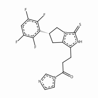 O=C(CCc1[nH]c(=S)n2c1C[C@H](c1c(F)c(F)cc(F)c1F)C2)n1ccnc1